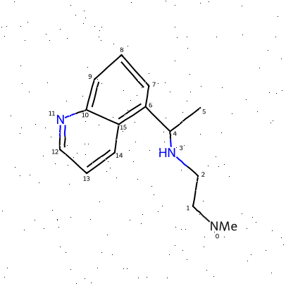 CNCCNC(C)c1cccc2ncccc12